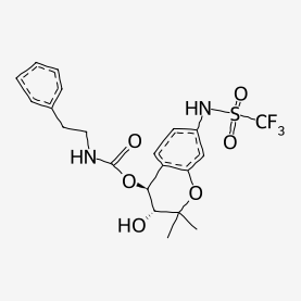 CC1(C)Oc2cc(NS(=O)(=O)C(F)(F)F)ccc2[C@H](OC(=O)NCCc2ccccc2)[C@H]1O